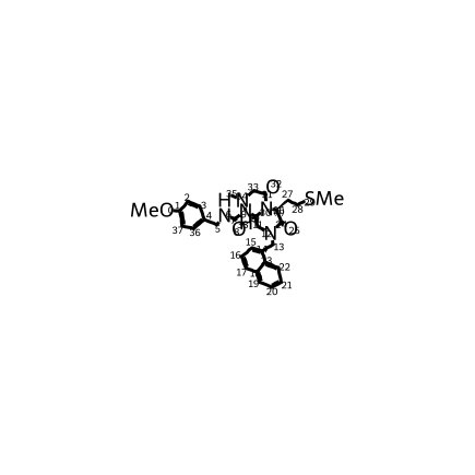 COc1ccc(CNC(=O)N2[C@H]3CN(Cc4cccc5ccccc45)C(=O)[C@H](CCSC)N3C(=O)CN2C)cc1